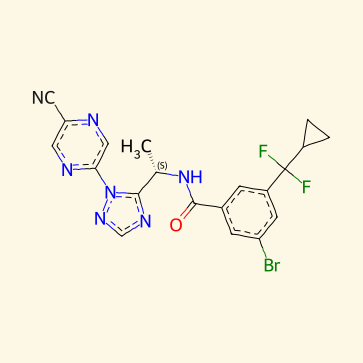 C[C@H](NC(=O)c1cc(Br)cc(C(F)(F)C2CC2)c1)c1ncnn1-c1cnc(C#N)cn1